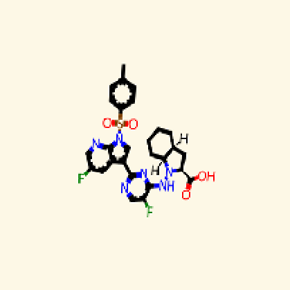 Cc1ccc(S(=O)(=O)n2cc(-c3ncc(F)c(NN4[C@H](C(=O)O)C[C@@H]5CCCC[C@@H]54)n3)c3cc(F)cnc32)cc1